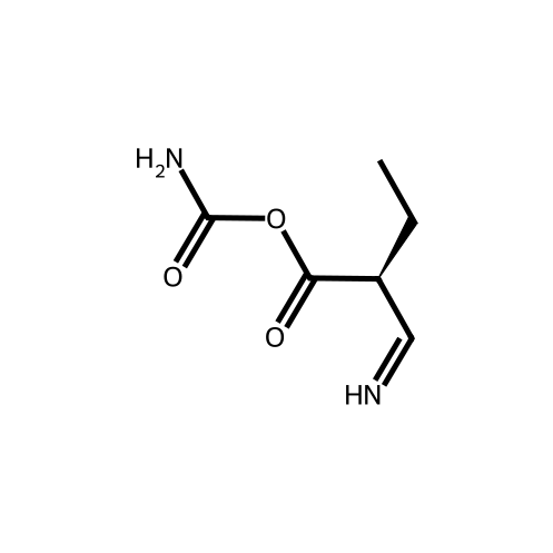 CC[C@@H](C=N)C(=O)OC(N)=O